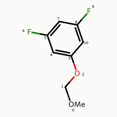 COCOc1cc(F)cc(F)c1